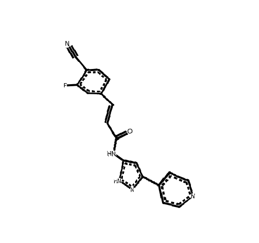 N#Cc1ccc(C=CC(=O)Nc2cc(-c3ccncc3)n[nH]2)cc1F